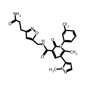 Cc1c(-c2ccnn2C)cc(C(=O)NCc2cc(CCC(N)=O)no2)c(=O)n1-c1cccc(C(F)(F)F)c1